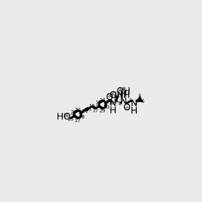 O=C(CNC1CC1)NC[C@H](NC(=O)c1ccc(/C=C/C#Cc2ccc(CO)cc2)cc1)C(=O)NO